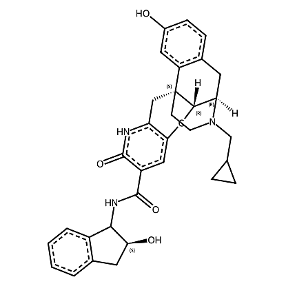 O=C(NC1c2ccccc2C[C@@H]1O)c1cc2c([nH]c1=O)C[C@]13CCN(CC4CC4)[C@H](Cc4ccc(O)cc41)[C@@H]3C2